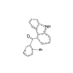 O=C(c1ccccc1Br)c1cccc2[nH]c3ccccc3c12